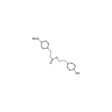 COc1ccc(CCC(=O)OCCc2ccc(O)cc2)cc1